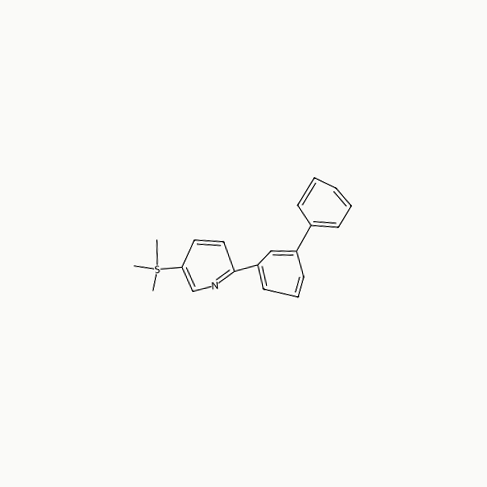 CS(C)(C)c1ccc(-c2cccc(-c3ccccc3)c2)nc1